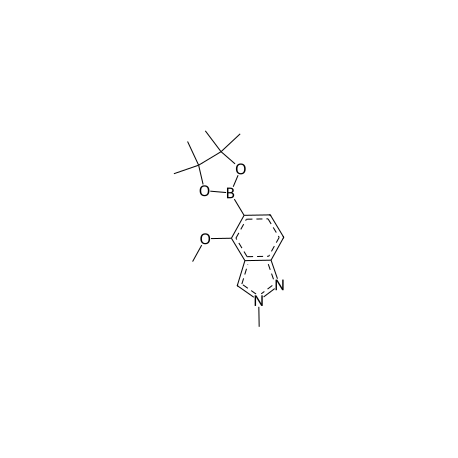 COc1c(B2OC(C)(C)C(C)(C)O2)ccc2nn(C)cc12